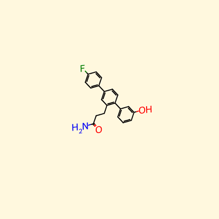 NC(=O)CCc1cc(-c2ccc(F)cc2)ccc1-c1cccc(O)c1